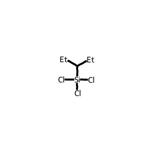 CCC(CC)[Si](Cl)(Cl)Cl